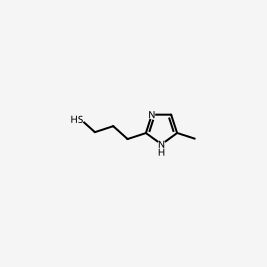 Cc1cnc(CCCS)[nH]1